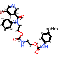 CCCCCCc1ccc(NC(=O)OCCNC(=O)OCCN(C(=O)c2cncc(Br)c2)c2ccccc2)cc1